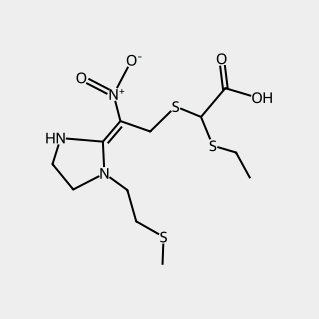 CCSC(SCC(=C1NCCN1CCSC)[N+](=O)[O-])C(=O)O